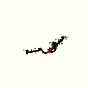 COC(=O)CC1=C2/C(=C/CSSC(C)(C)CCC(=O)CCCO/N=C(/C)c3ccc(OCCCC(=O)NCCCC(=O)CCCCCN4C(=O)CC(C(C)(C)C)C4=O)cc3)[C@](O)(C#C/C=C\C#C[C@@H]2OC2OC(C)C(NOC3CC(O)C(SC(=O)c4c(C)c(I)c(OC5OC(C)C(O)C(OC)C5O)c(C)c4OC)C(C)O3)C(O)C2OC2CC(C)C(CC(C)=O)CO2)CC1=O